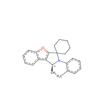 Cc1ccccc1N1[C@@H](C)c2c(oc3ccccc23)C12CCCCC2